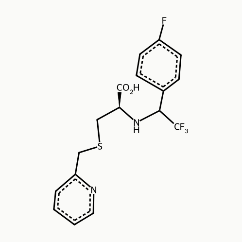 O=C(O)[C@H](CSCc1ccccn1)NC(c1ccc(F)cc1)C(F)(F)F